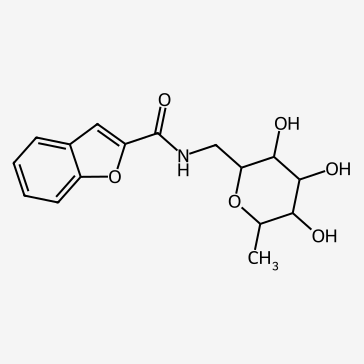 CC1OC(CNC(=O)c2cc3ccccc3o2)C(O)C(O)C1O